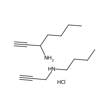 C#CC(N)CCCC.C#CCNCCCC.Cl